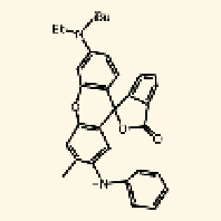 CCC(C)N(CC)c1ccc2c(c1)Oc1cc(C)c(Nc3ccccc3)cc1C21OC(=O)c2ccccc21